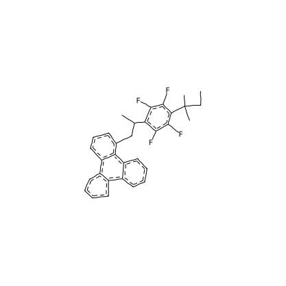 CCC(C)(C)c1c(F)c(F)c(C(C)Cc2cccc3c4ccccc4c4ccccc4c23)c(F)c1F